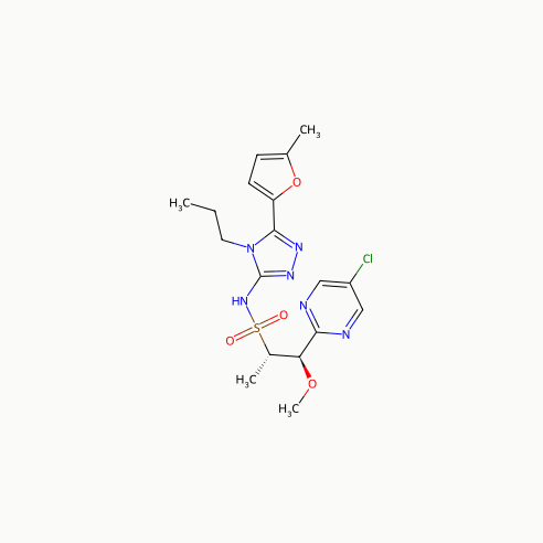 CCCn1c(NS(=O)(=O)[C@@H](C)[C@H](OC)c2ncc(Cl)cn2)nnc1-c1ccc(C)o1